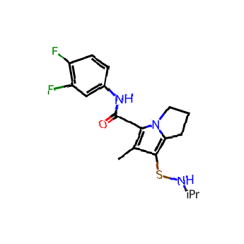 Cc1c(SNC(C)C)c2n(c1C(=O)Nc1ccc(F)c(F)c1)CCC2